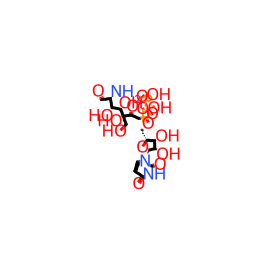 N[C@@H](C=O)[C@@H](O)[C@H](O)[C@](O)(CO)C(=O)CP(=O)(OC[C@H]1O[C@@H](n2ccc(=O)[nH]c2=O)[C@H](O)[C@@H]1O)OP(=O)(O)O